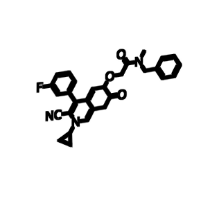 CN(Cc1ccccc1)C(=O)COC1C=C2C(=CN(C3CC3)C(C#N)=C2c2cccc(F)c2)CC1=O